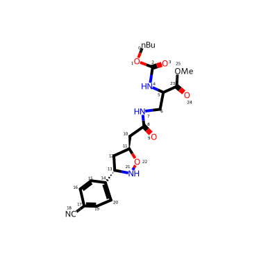 CCCCOC(=O)NC(CNC(=O)C[C@@H]1C[C@@H](c2ccc(C#N)cc2)NO1)C(=O)OC